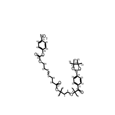 CC(C)(CCOC(C)(C)C(=O)c1ccc(B2OC(C)(C)C(C)(C)O2)cc1)OC(=O)CCSSCCOC(=O)Oc1ccc([N+](=O)[O-])cc1